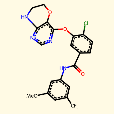 COc1cc(NC(=O)c2ccc(Cl)c(Oc3ncnc4c3OCCN4)c2)cc(C(F)(F)F)c1